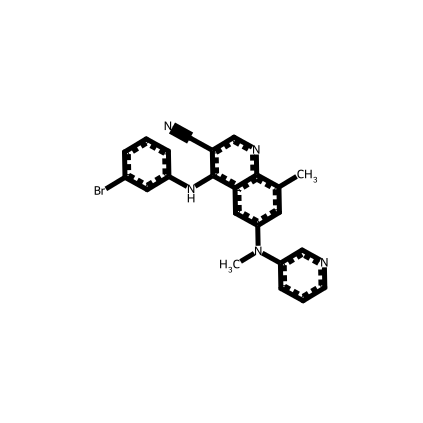 Cc1cc(N(C)c2cccnc2)cc2c(Nc3cccc(Br)c3)c(C#N)cnc12